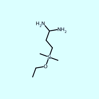 CCO[Si](C)(C)CCC(N)N